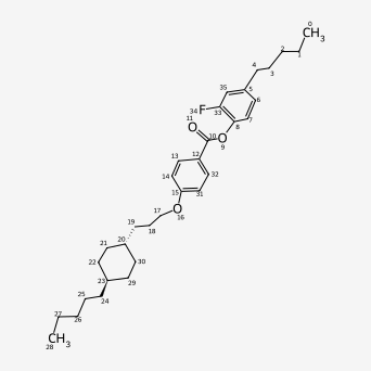 CCCCCc1ccc(OC(=O)c2ccc(OCCC[C@H]3CC[C@H](CCCCC)CC3)cc2)c(F)c1